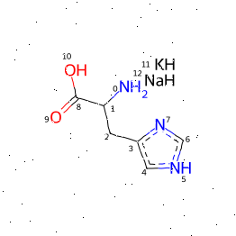 NC(Cc1c[nH]cn1)C(=O)O.[KH].[NaH]